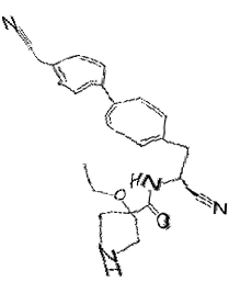 CCOC1(C(=O)N[C@H](C#N)Cc2ccc(-c3ccc(C#N)cc3)cc2)CNC1